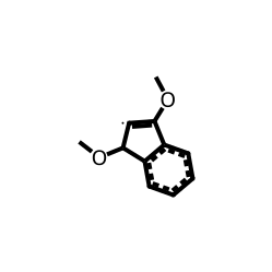 COC1=[C]C(OC)c2ccccc21